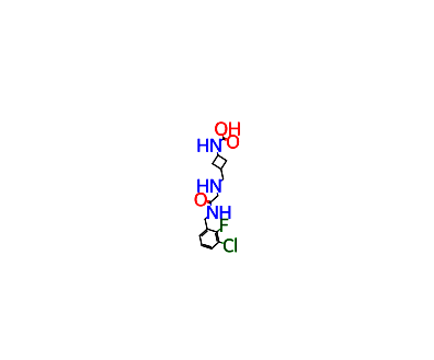 O=C(O)NC1CC(CNCC(=O)NCc2cccc(Cl)c2F)C1